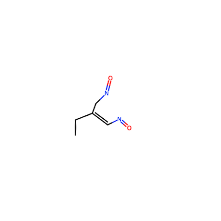 CCC(=CN=O)CN=O